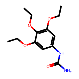 CCOc1cc(NC(N)=O)cc(OCC)c1OCC